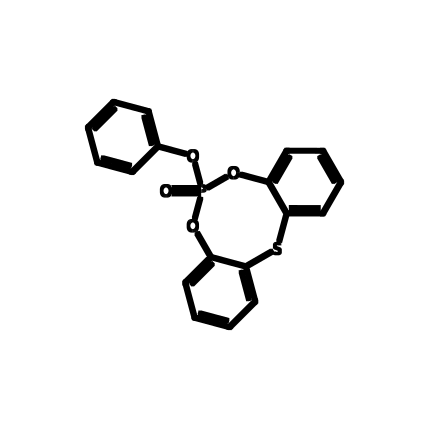 O=P1(Oc2ccccc2)Oc2ccccc2Sc2ccccc2O1